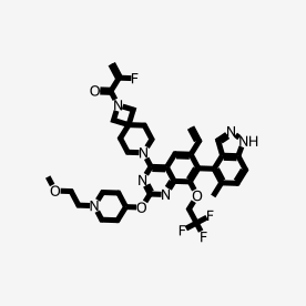 C=Cc1cc2c(N3CCC4(CC3)CN(C(=O)C(=C)F)C4)nc(OC3CCN(CCOC)CC3)nc2c(OCC(F)(F)F)c1-c1c(C)ccc2[nH]ncc12